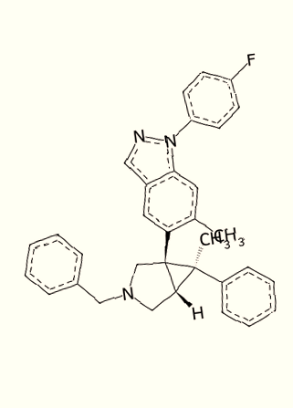 Cc1cc2c(cnn2-c2ccc(F)cc2)cc1[C@]12CN(Cc3ccccc3)C[C@H]1[C@]2(C)c1ccccc1